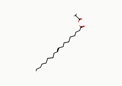 CCCCCCCCC=CCCCCCCCC(=O)OC(=O)C(C)Br